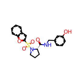 O=C(NCc1cccc(O)c1)[C@@H]1CCCN1S(=O)(=O)c1cc2ccccc2o1